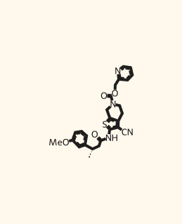 COc1cccc([C@@H](C)CC(=O)Nc2sc3c(c2C#N)CCN(C(=O)OCc2ccccn2)C3)c1